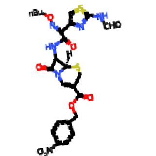 CCCCON=C(C(=O)NC1C(=O)N2C=C(C(=O)OCc3ccc([N+](=O)[O-])cc3)CS[C@H]12)c1csc(NC=O)n1